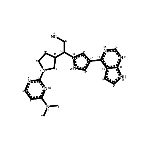 CN(C)c1ccnc(N2CCC(C(CC#N)n3cc(-c4ncnc5[nH]ccc45)cn3)C2)n1